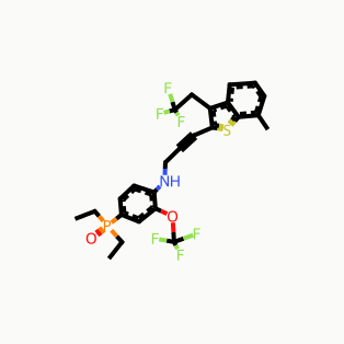 CCP(=O)(CC)c1ccc(NCC#Cc2sc3c(C)cccc3c2CC(F)(F)F)c(OC(F)(F)F)c1